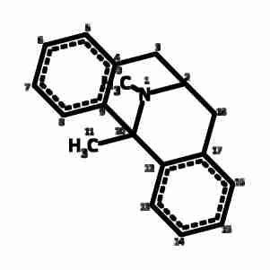 CN1C2Cc3ccccc3C1(C)c1ccccc1C2